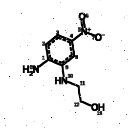 Nc1ccc([N+](=O)[O-])cc1NCCO